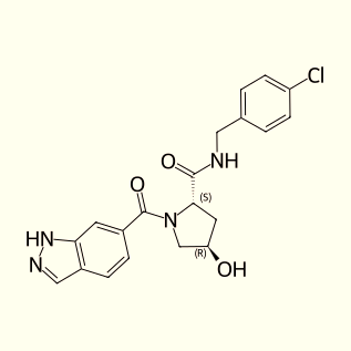 O=C(NCc1ccc(Cl)cc1)[C@@H]1C[C@@H](O)CN1C(=O)c1ccc2cn[nH]c2c1